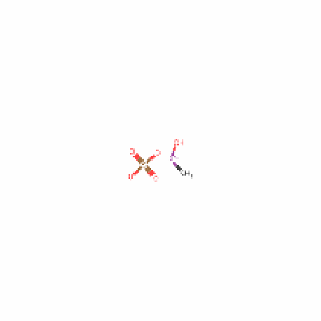 C[P+2]O.O=S(=O)([O-])[O-]